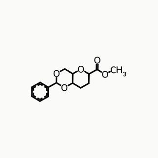 COC(=O)C1CCC2OC(c3ccccc3)OCC2O1